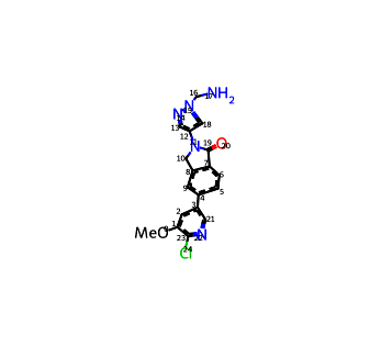 COc1cc(-c2ccc3c(c2)CN(c2cnn(CN)c2)C3=O)cnc1Cl